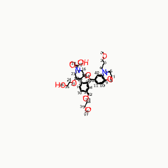 COCCCN1CCOc2ccc(CO[C@H]3CN(C(=O)O)C[C@@H](OCCO)[C@@H]3c3ccc(COCCOC)cc3)cc21